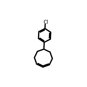 Clc1ccc(C2CCC=C=CCC2)cc1